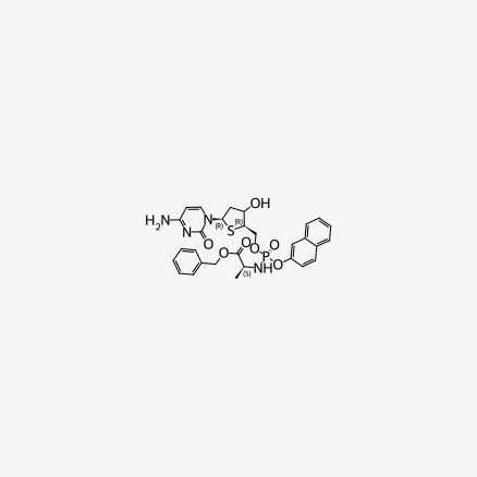 C[C@H](NP(=O)(OC[C@H]1S[C@@H](n2ccc(N)nc2=O)CC1O)Oc1ccc2ccccc2c1)C(=O)OCc1ccccc1